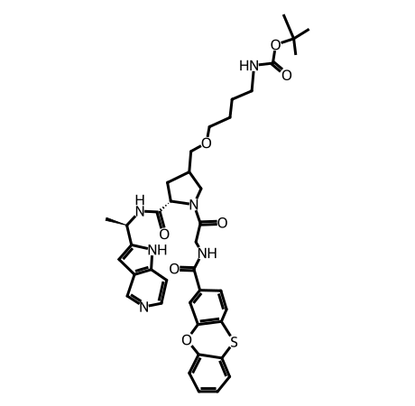 C[C@@H](NC(=O)[C@@H]1CC(COCCCCNC(=O)OC(C)(C)C)CN1C(=O)CNC(=O)c1ccc2c(c1)Oc1ccccc1S2)c1cc2cnccc2[nH]1